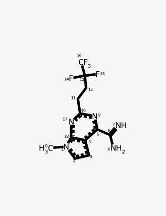 Cn1ccc2c(C(=N)N)nc(CCC(F)(F)C(F)(F)F)nc21